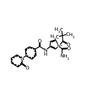 CC(C)(C)C(=O)[N+]1(C(N)=O)C=[C]C(NC(=O)c2ccc(-n3ccccc3=O)cc2)=C1